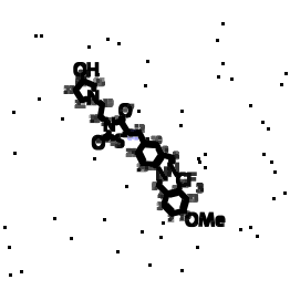 COc1ccc(Cn2ncc3cc(/C=C4\SC(=O)N(CCN5CC[C@H](O)C5)C4=O)ccc32)c(C(F)(F)F)c1